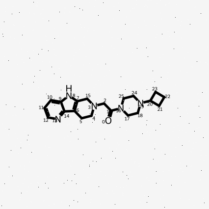 O=C(CN1CCc2c([nH]c3cccnc23)C1)N1CCN(C2CCC2)CC1